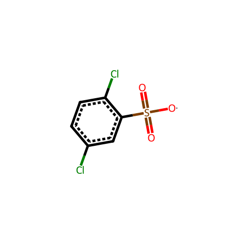 [O]S(=O)(=O)c1cc(Cl)ccc1Cl